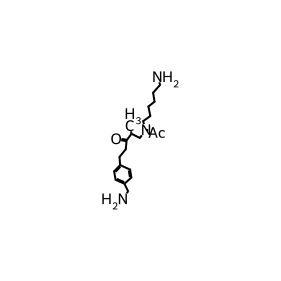 CC(=O)N(CCCCCCN)CC(C)C(=O)CCc1ccc(CN)cc1